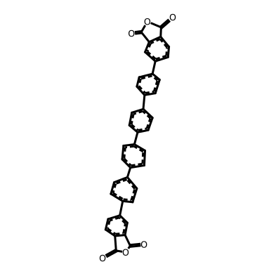 O=C1OC(=O)c2cc(-c3ccc(-c4ccc(-c5ccc(-c6ccc(-c7ccc8c(c7)C(=O)OC8=O)cc6)cc5)cc4)cc3)ccc21